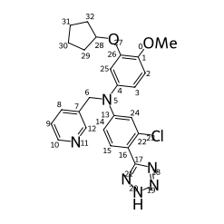 COc1ccc(N(Cc2cccnc2)c2ccc(-c3nn[nH]n3)c(Cl)c2)cc1OC1CCCC1